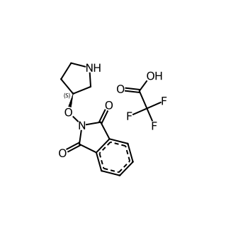 O=C(O)C(F)(F)F.O=C1c2ccccc2C(=O)N1O[C@H]1CCNC1